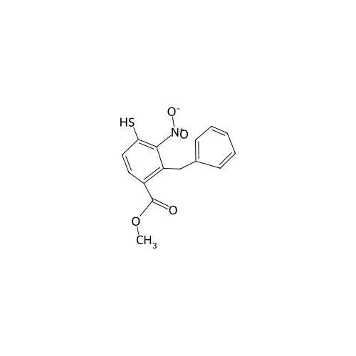 COC(=O)c1ccc(S)c([N+](=O)[O-])c1Cc1ccccc1